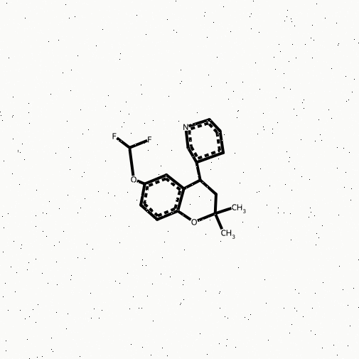 CC1(C)CC(c2cccnc2)c2cc(OC(F)F)ccc2O1